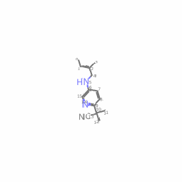 CC=C(C)CNc1ccc(C(C)(C)C#N)nc1